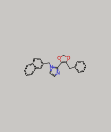 c1ccc(CC2=C(c3nccn3Cc3ccc4ccccc4c3)OCO2)cc1